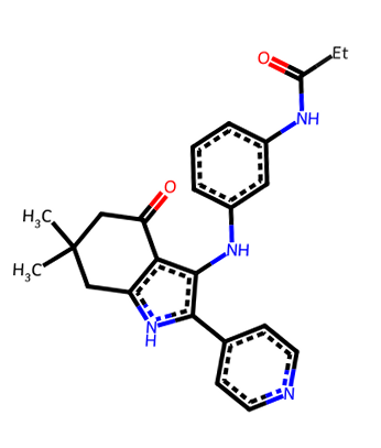 CCC(=O)Nc1cccc(Nc2c(-c3ccncc3)[nH]c3c2C(=O)CC(C)(C)C3)c1